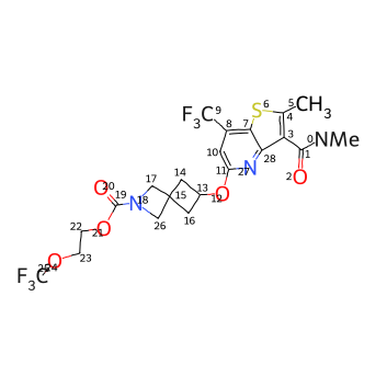 CNC(=O)c1c(C)sc2c(C(F)(F)F)cc(OC3CC4(C3)CN(C(=O)OCCOC(F)(F)F)C4)nc12